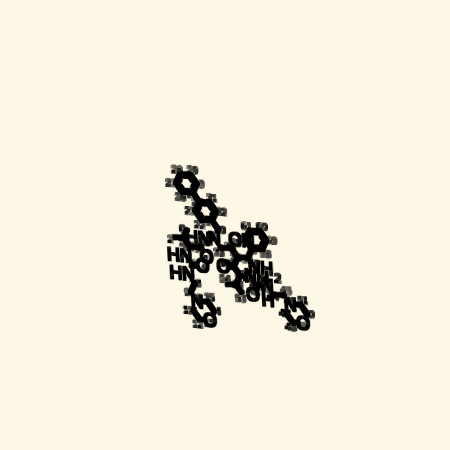 CC(C)[C@H](NC(=O)NCCN1CCOCC1)C(=O)NN(Cc1ccc(-c2ccccc2)cc1)CC(O)C(C(=O)[C@@H](NC(=O)NCCN1CCOCC1)C(C)C)C(N)c1ccccc1